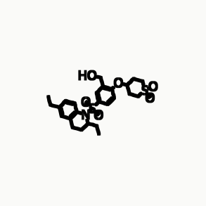 CCc1ccc2c(c1)CCC(CC)N2S(=O)(=O)c1ccc(OC2CCS(=O)(=O)CC2)c(CO)c1